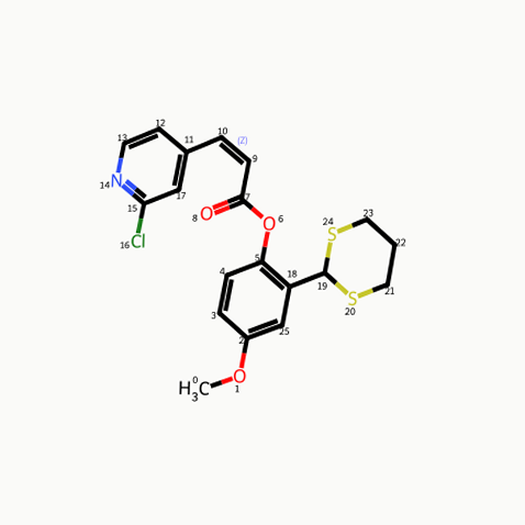 COc1ccc(OC(=O)/C=C\c2ccnc(Cl)c2)c(C2SCCCS2)c1